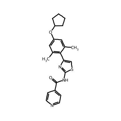 Cc1cc(OC2CCCC2)cc(C)c1-c1csc(NC(=O)c2ccncc2)n1